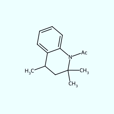 CC(=O)N1c2ccccc2C(C)CC1(C)C